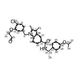 Cc1c(C)n(Cc2ccc(Cl)c(O[C@@H](C)C=O)c2)c2ccc(C(=O)N[C@@H](C)c3ccc(OC(C)C)cc3)cc12